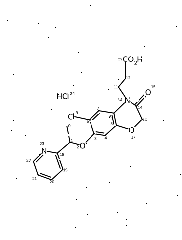 CC(Oc1cc2c(cc1Cl)N(CCC(=O)O)C(=O)CO2)c1ccccn1.Cl